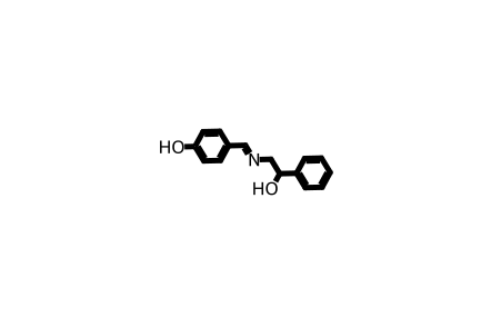 Oc1ccc(C=NCC(O)c2ccccc2)cc1